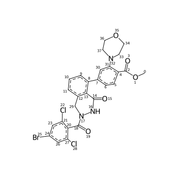 COC(=O)c1ccc(-c2cccc3c2C(=O)NN(C(=O)c2c(Cl)cc(Br)cc2Cl)C3)cc1N1CCOCC1